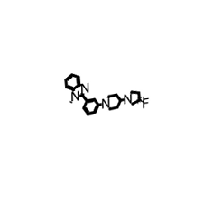 Cn1c(-c2cccc(N3CCC(N4CC[C@H](F)C4)CC3)c2)nc2ccccc21